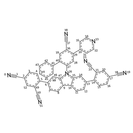 N#Cc1ccc(-c2ccc3c4ccc(-c5ccc(C#N)cc5C#N)cc4n(-c4cc(-c5ccncc5)c(C#N)cc4-c4ccccc4)c3c2)c(C#N)c1